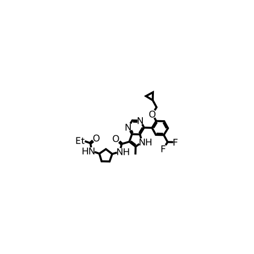 CCC(=O)NC1CCC(NC(=O)c2c(C)[nH]c3c(-c4cc(C(F)F)ccc4OCC4CC4)ncnc23)C1